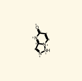 O=c1ccn2[nH]ncc2n1